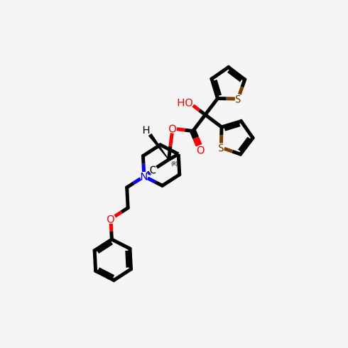 O=C(O[C@H]1C[N+]2(CCOc3ccccc3)CCC1CC2)C(O)(c1cccs1)c1cccs1